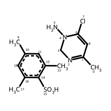 CC1=NCN(N)C(Cl)=C1.Cc1cc(C)c(S(=O)(=O)O)c(C)c1